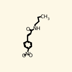 CCCCNC(=O)C=Cc1ccc([N+](=O)[O-])cc1